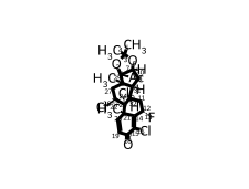 CC(=O)[C@@]12OC(C)(C)O[C@@H]1C[C@H]1[C@@H]3C[C@H](F)C4=C(Cl)C(=O)C=C[C@]4(C)[C@@]3(Cl)[C@@H](Cl)C[C@@]12C